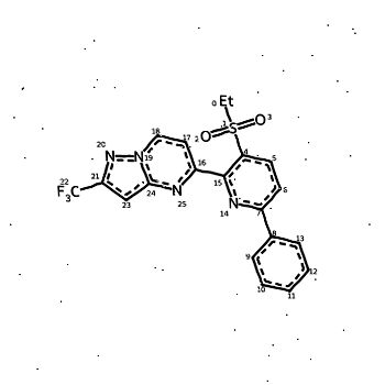 CCS(=O)(=O)c1ccc(-c2ccccc2)nc1-c1ccn2nc(C(F)(F)F)cc2n1